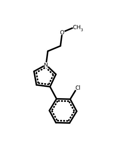 COCCn1ccc(-c2ccccc2Cl)c1